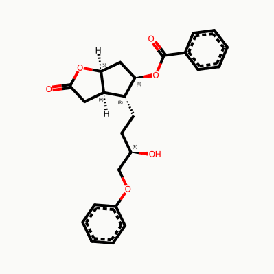 O=C1C[C@@H]2[C@@H](CC[C@@H](O)COc3ccccc3)[C@H](OC(=O)c3ccccc3)C[C@@H]2O1